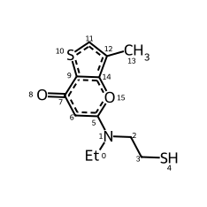 CCN(CCS)c1cc(=O)c2scc(C)c2o1